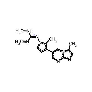 C=N/C(=N\n1ccc(-c2cnc3ncc(C)n3c2)c1C)NC